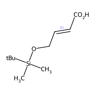 CC(C)(C)[Si](C)(C)OC/C=C/C(=O)O